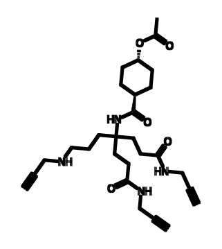 C#CCNCCCC(CCC(=O)NCC#C)(CCC(=O)NCC#C)NC(=O)[C@H]1CC[C@H](OC(C)=O)CC1